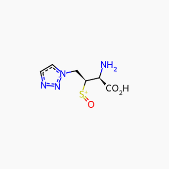 N[C@@H](C(=O)O)[C@H](Cn1ccnn1)[S+]=O